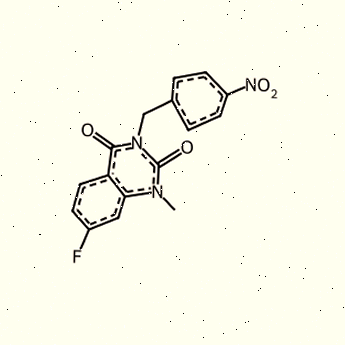 Cn1c(=O)n(Cc2ccc([N+](=O)[O-])cc2)c(=O)c2ccc(F)cc21